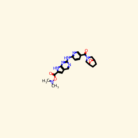 CN(C)OC(=O)c1cc2cnc(Nc3ccc(C(=O)N4CC5CCC(C4)O5)cn3)nc2[nH]1